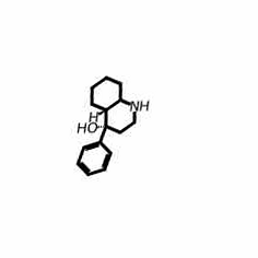 O[C@@]1(c2ccccc2)CCNC2CCCC[C@H]21